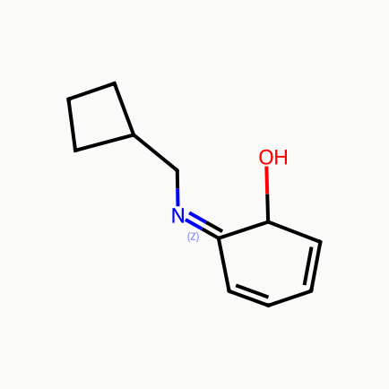 OC1C=CC=C/C1=N/CC1CCC1